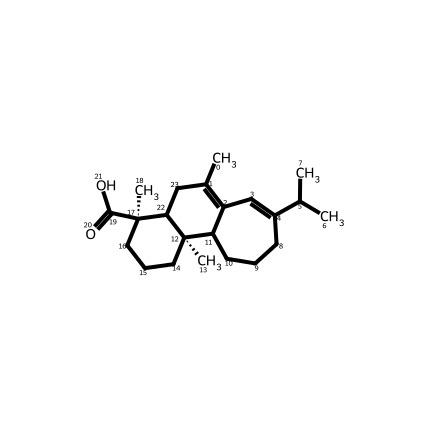 CC1=C2C=C(C(C)C)CCCC2[C@@]2(C)CCC[C@@](C)(C(=O)O)C2C1